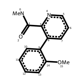 CNC(=O)c1ncccc1-c1ccccc1OC